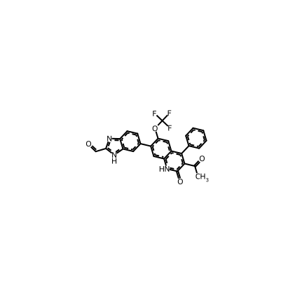 CC(=O)c1c(-c2ccccc2)c2cc(OC(F)(F)F)c(-c3ccc4nc(C=O)[nH]c4c3)cc2[nH]c1=O